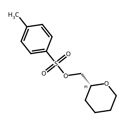 Cc1ccc(S(=O)(=O)OC[C@H]2CCCCO2)cc1